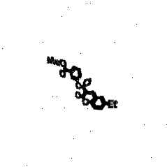 CCc1ccc2oc(=O)c(C(=O)Oc3cccc(C(=O)OC)c3)cc2c1